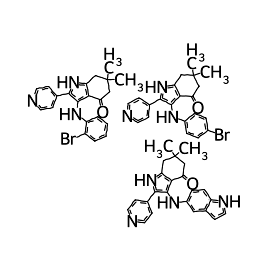 CC1(C)CC(=O)c2c([nH]c(-c3ccncc3)c2Nc2ccc(Br)cc2)C1.CC1(C)CC(=O)c2c([nH]c(-c3ccncc3)c2Nc2ccc3[nH]ccc3c2)C1.CC1(C)CC(=O)c2c([nH]c(-c3ccncc3)c2Nc2ccccc2Br)C1